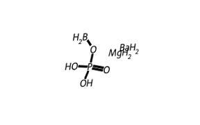 BOP(=O)(O)O.[BaH2].[MgH2]